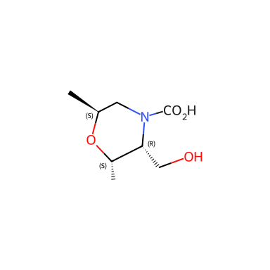 C[C@@H]1O[C@@H](C)CN(C(=O)O)[C@@H]1CO